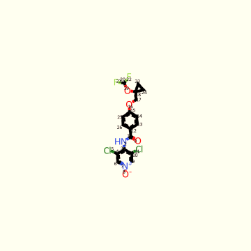 O=C(Nc1c(Cl)c[n+]([O-])cc1Cl)c1ccc(OCC2(OC(F)F)CC2)cc1